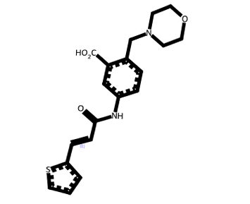 O=C(/C=C/c1cccs1)Nc1ccc(CN2CCOCC2)c(C(=O)O)c1